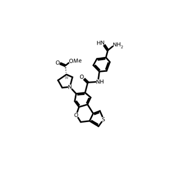 COC(=O)[C@H]1CCN(c2cc3c(cc2C(=O)Nc2ccc(C(=N)N)cc2)-c2cscc2CO3)C1